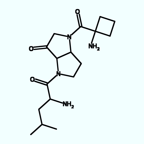 CC(C)CC(N)C(=O)N1CCC2C1C(=O)CN2C(=O)C1(N)CCC1